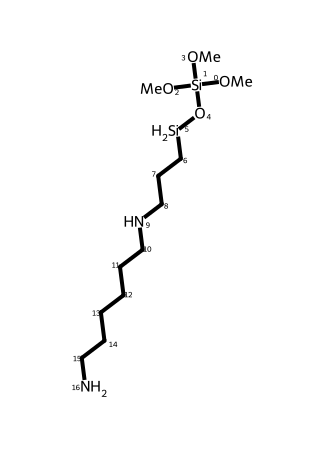 CO[Si](OC)(OC)O[SiH2]CCCNCCCCCCN